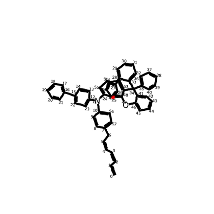 C=C/C=C\C=C/Cc1ccc(N(c2ccc(-c3ccccc3)cc2)c2ccc(-c3ccccc3C3(c4ccccc4)c4ccccc4Oc4ccccc43)cc2)cc1